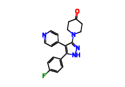 O=C1CCN(c2n[nH]c(-c3ccc(F)cc3)c2-c2ccncc2)CC1